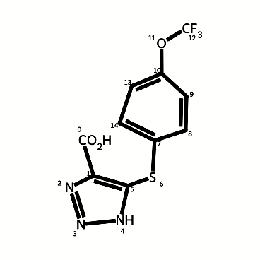 O=C(O)c1nn[nH]c1Sc1ccc(OC(F)(F)F)cc1